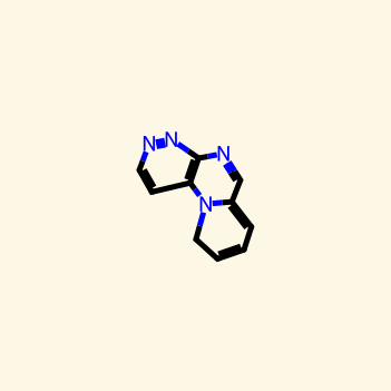 C1=CCN2C(=C1)C=Nc1nnccc12